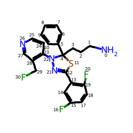 NCCCC1(c2ccccc2)SC(c2cc(F)ccc2F)=NN1c1ccncc1CF